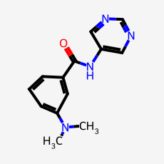 CN(C)c1cccc(C(=O)Nc2cncnc2)c1